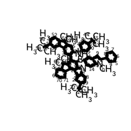 Cn1c(-c2ccccc2)cc2cc3c(cc21)-n1c2ccc(C(C)(C)C)cc2c2c4c(c(-c5cc6c(cc5Nc5ccc(C(C)(C)C)cc5)C(C)(C)c5ccc(C(C)(C)C)cc5-6)c(c21)B3)C(C)(C)c1ccccc1-4